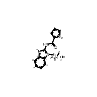 CCn1c(NC(=O)c2cccs2)nc2ccccc21.CNC.Cl